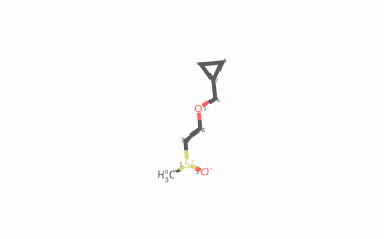 C[S+]([O-])CCOCC1CC1